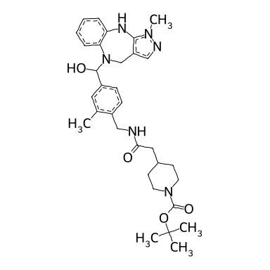 Cc1cc(C(O)N2Cc3cnn(C)c3Nc3ccccc32)ccc1CNC(=O)CC1CCN(C(=O)OC(C)(C)C)CC1